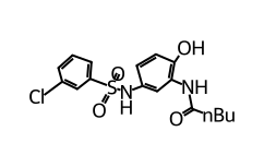 CCCCC(=O)Nc1cc(NS(=O)(=O)c2cccc(Cl)c2)ccc1O